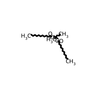 CCCCCCCCCCCC(=O)OCC(C)(CCC)COC(=O)CCCCCCCCCCC